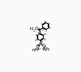 C=C(c1ccccc1)c1ccc(N(OCCC)OCCC)cc1